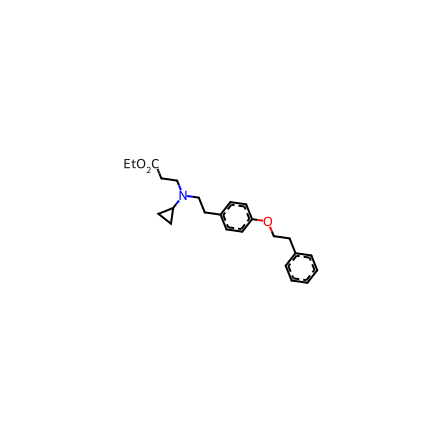 CCOC(=O)CCN(CCc1ccc(OCCc2ccccc2)cc1)C1CC1